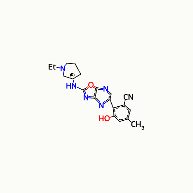 CCN1CCC[C@@H](Nc2nc3nc(-c4c(O)cc(C)cc4C#N)cnc3o2)C1